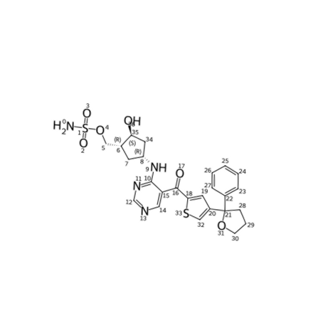 NS(=O)(=O)OC[C@H]1C[C@@H](Nc2ncncc2C(=O)c2cc(C3(c4ccccc4)CCCO3)cs2)C[C@@H]1O